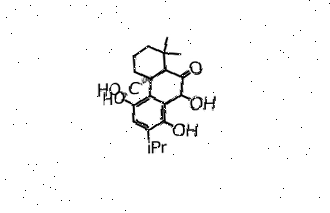 CC(C)c1cc(O)c2c(c1O)C(O)C(=O)C1C(C)(C)CCC[C@]21C(=O)O